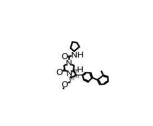 COC[C@H]1[C@H](c2ccc(-c3ccccc3C)cc2)[C@@H]2CN(C(=O)NC3CCCC3)CC(=O)N12